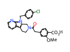 COc1cc(CC(=O)N2CCc3c(n(Cc4ccc(Cl)cc4)c4ncccc34)C2)ccc1C(=O)O